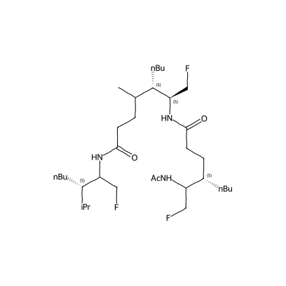 CCCC[C@@H](CCC(=O)N[C@H](CF)[C@@H](CCCC)C(C)CCC(=O)NC(CF)[C@@H](CCCC)C(C)C)C(CF)NC(C)=O